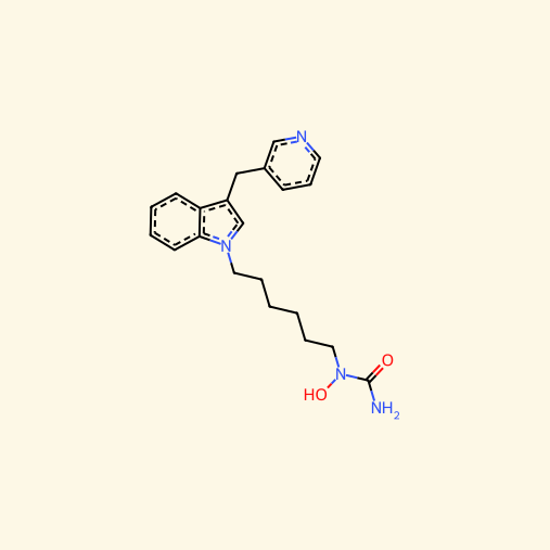 NC(=O)N(O)CCCCCCn1cc(Cc2cccnc2)c2ccccc21